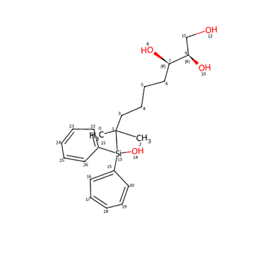 CC(C)(CCCC[C@@H](O)[C@H](O)CO)[Si](O)(c1ccccc1)c1ccccc1